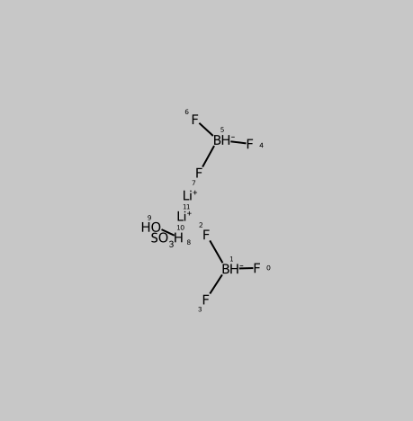 F[BH-](F)F.F[BH-](F)F.O=S(=O)(O)O.[Li+].[Li+]